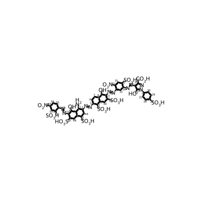 Nc1c(N=Nc2ccc3c(O)c(N=Nc4cc(/N=N/c5c(C(=O)O)nn(-c6ccc(S(=O)(=O)O)cc6)c5O)c(S(=O)(=O)O)cc4[N+](=O)[O-])c(S(=O)(=O)O)cc3c2S(=O)(=O)O)cc(S(=O)(=O)O)c2cc(S(=O)(=O)O)c(N=Nc3ccc([N+](=O)[O-])cc3S(=O)(=O)O)c(O)c12